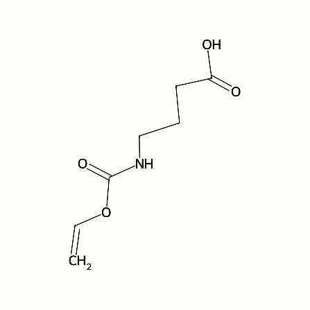 C=COC(=O)NCCCC(=O)O